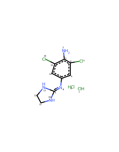 Cl.Cl.Nc1c(Cl)cc(N=C2NCCN2)cc1Cl